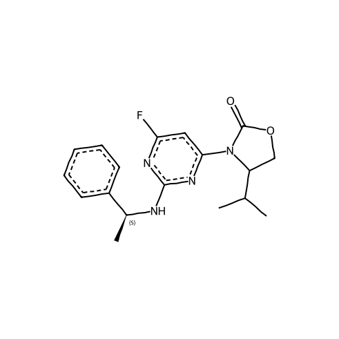 CC(C)C1COC(=O)N1c1cc(F)nc(N[C@@H](C)c2ccccc2)n1